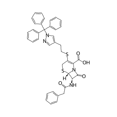 O=C(Cc1ccccc1)N[C@@H]1C(=O)N2C(C(=O)O)=C(SCCc3cnn(C(c4ccccc4)(c4ccccc4)c4ccccc4)c3)CS[C@@H]12